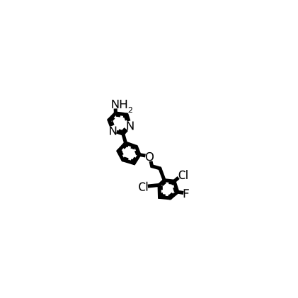 Nc1cnc(-c2cccc(OCCc3c(Cl)ccc(F)c3Cl)c2)nc1